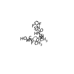 CC1O[C@H](c2c(NC(=O)c3csc(-c4c(F)cccc4F)n3)cnn2C)CC[C@@H](NC(=O)O)[C@@H]1F